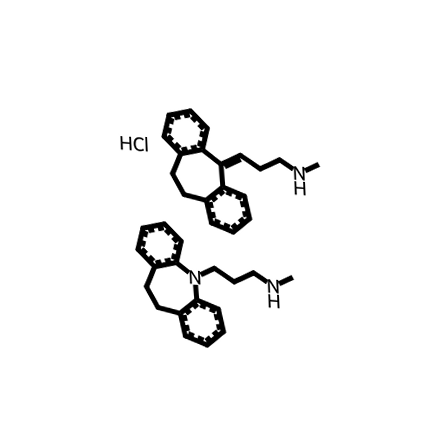 CNCCC=C1c2ccccc2CCc2ccccc21.CNCCCN1c2ccccc2CCc2ccccc21.Cl